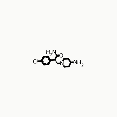 NC(=O)[C@@H](CN1CCC(N)CC1)c1ccc(Cl)cc1